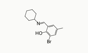 Cc1cc(Br)c(O)c(/C=N/C2CCCCC2)c1